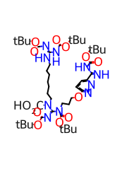 CC(C)(C)OC(=O)/N=C(\NCCCCCCCN(C(=O)O)/C(=N\C(=O)OC(C)(C)C)N(CCCOc1ccc(C(=N)NC(=O)OC(C)(C)C)nn1)C(=O)OC(C)(C)C)NC(=O)OC(C)(C)C